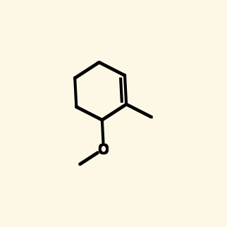 COC1CCCC=C1C